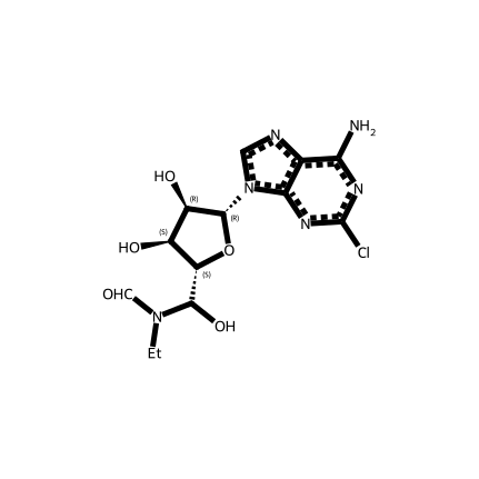 CCN(C=O)C(O)[C@H]1O[C@@H](n2cnc3c(N)nc(Cl)nc32)[C@H](O)[C@@H]1O